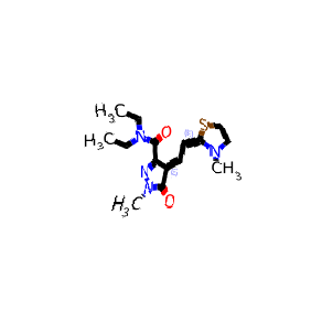 CCN(CC)C(=O)C1=NN(C)C(=O)/C1=C/C=C1/SCCN1C